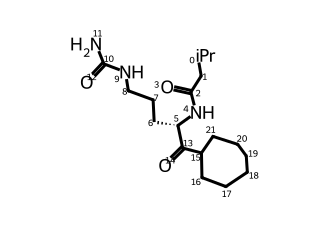 CC(C)CC(=O)N[C@@H](CCCNC(N)=O)C(=O)C1CCCCCC1